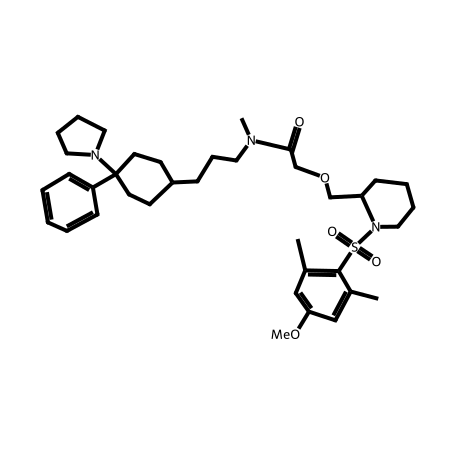 COc1cc(C)c(S(=O)(=O)N2CCCCC2COCC(=O)N(C)CCCC2CCC(c3ccccc3)(N3CCCC3)CC2)c(C)c1